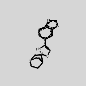 c1nc2ccc(C3=NO[C@@]4(CN5CCC4CC5)N3)cc2s1